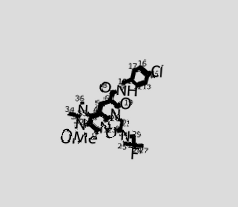 COc1nc2c(cc(C(=O)NCc3ccc(Cl)cc3)c(=O)n2CC(=O)N2CC(C)(F)C2)c2c1nc(C)n2C